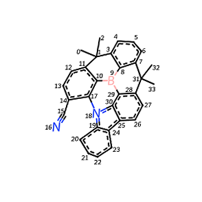 CC1(C)c2cccc3c2B2c4c1ccc(C#N)c4-n1c4ccccc4c4ccc(c2c41)C3(C)C